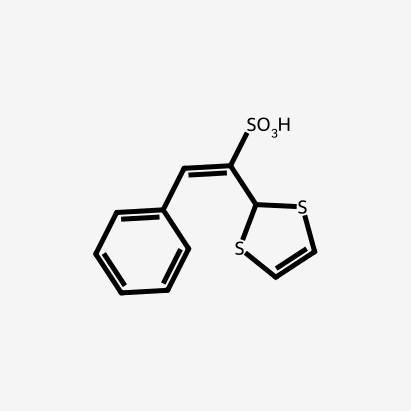 O=S(=O)(O)C(=Cc1ccccc1)C1SC=CS1